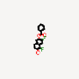 O=C(Oc1cc2ccc(O)c(F)c2cc1F)c1ccccc1